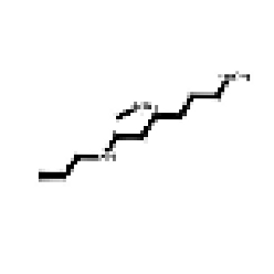 C=CCNCCCCCCCCCCCCCC.CNC